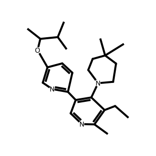 CCc1c(C)ncc(-c2ccc(OC(C)C(C)C)cn2)c1N1CCC(C)(C)CC1